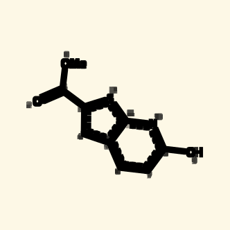 COC(=O)c1cc2ccc(O)nc2s1